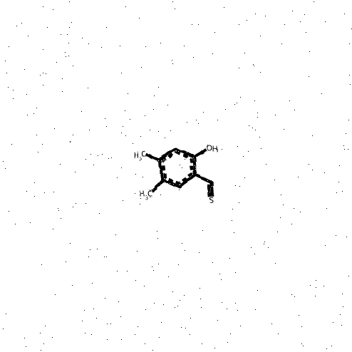 Cc1cc(O)c(C=S)cc1C